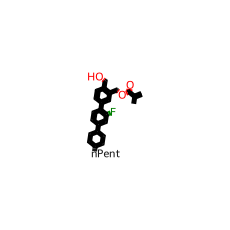 C=C(C)C(=O)OCc1cc(-c2ccc(C3CCC(CCCCC)CC3)cc2F)ccc1CO